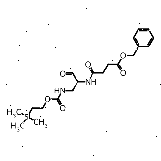 C[Si](C)(C)CCOC(=O)NC[C@@H](C=O)NC(=O)CCC(=O)OCc1ccccc1